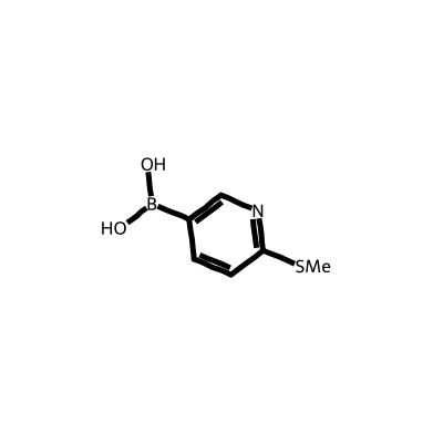 CSc1ccc(B(O)O)cn1